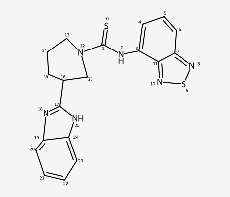 S=C(Nc1cccc2nsnc12)N1CCCC(c2nc3ccccc3[nH]2)C1